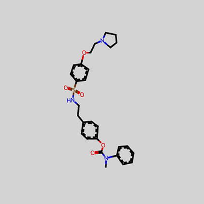 CN(C(=O)Oc1ccc(CCNS(=O)(=O)c2ccc(OCCN3CCCC3)cc2)cc1)c1ccccc1